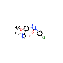 COc1ccc(NC(=O)Nc2ccc(Cl)cc2)cc1-c1c(Br)cnn1C